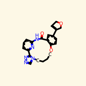 O=C1Nc2cccc(n2)-c2nncn2CCCCOc2ccc(C3=CCOC3)cc21